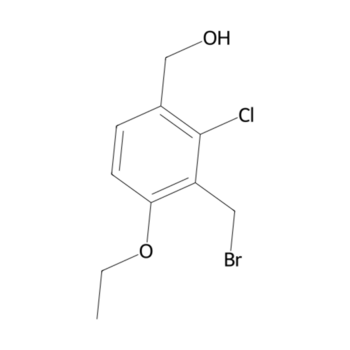 CCOc1ccc(CO)c(Cl)c1CBr